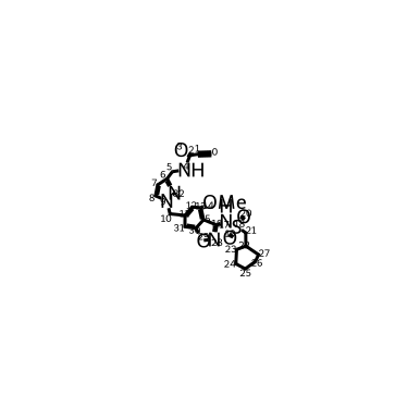 C#CC(=O)NCc1ccn(Cc2cc(OC)c3c(NS(=O)(=O)CC4CCCCC4)noc3c2)n1